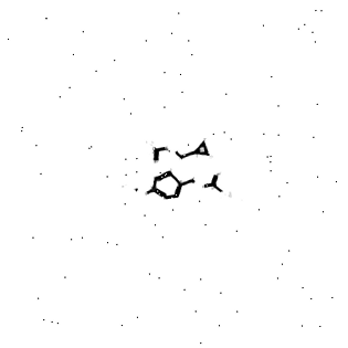 CCCCCCCCCCOc1ccc(COC(N)=O)cc1.NC(=O)OCC1CC1